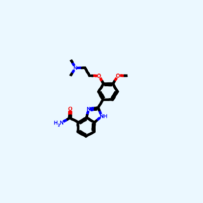 COc1ccc(-c2nc3c(C(N)=O)cccc3[nH]2)cc1OCCN(C)C